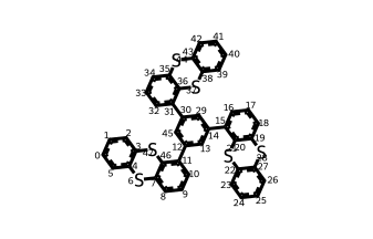 c1ccc2c(c1)Sc1cccc(-c3cc(-c4cccc5c4Sc4ccccc4S5)cc(-c4cccc5c4Sc4ccccc4S5)c3)c1S2